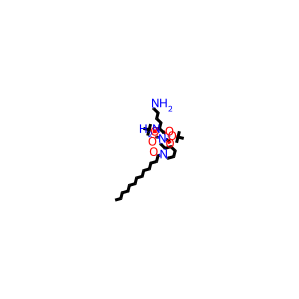 CCCCCCCCCCCCC(=O)N1CCCCC1C[N+](C(=O)OC(C)(C)C)(C(=O)OC(C)(C)C)C(=O)C(N)CCCCN